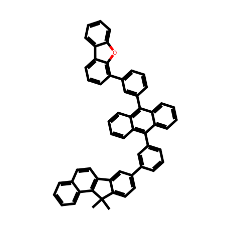 CC1(C)c2ccc(-c3cccc(-c4c5ccccc5c(-c5cccc(-c6cccc7c6oc6ccccc67)c5)c5ccccc45)c3)cc2-c2ccc3ccccc3c21